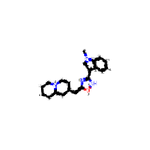 Cn1cc(C2=N/C(=C\C3CCN4CCCCC4C3)ON2)c2ccccc21